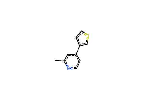 Cc1cc(-c2ccsc2)ccn1